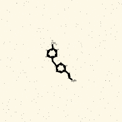 CCCC=Cc1ccc(Cc2ccc(C)cc2)cc1